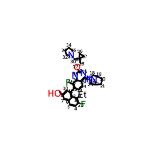 CCc1c(F)ccc2cc(O)cc(-c3ccc4c(N5CC6CCC(C5)N6)nc(OCC5(CN6CCCC6)CC5)nc4c3F)c12